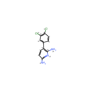 Nc1ccc(-c2ccc(Cl)c(Cl)c2)c(N)n1